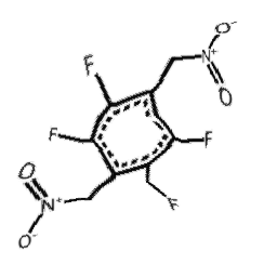 O=[N+]([O-])Cc1c(F)c(F)c(C[N+](=O)[O-])c(F)c1F